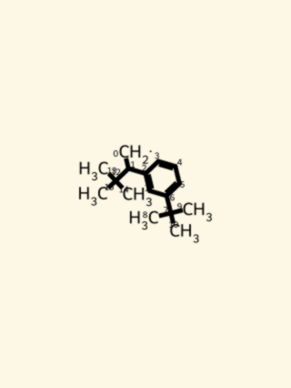 [CH2]C(c1cccc(C(C)(C)C)c1)C(C)(C)C